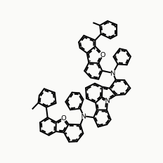 Cc1ccccc1-c1cccc2c1oc1c(N(c3ccccc3)c3cccc4c3c3cccc5c6c(N(c7ccccc7)c7cccc8c7oc7c(-c9ccccc9C)cccc78)cccc6n4c35)cccc12